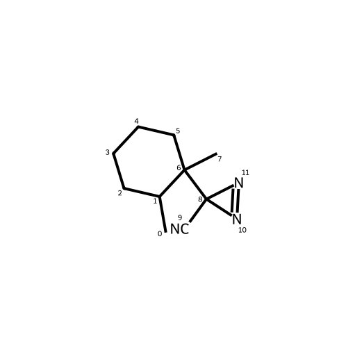 CC1CCCCC1(C)C1(C#N)N=N1